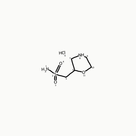 Cl.NS(=O)(=O)CC1CNCCO1